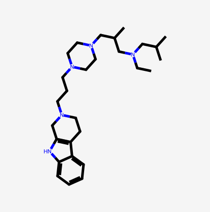 CCN(CC(C)C)CC(C)CN1CCN(CCCN2CCc3c([nH]c4ccccc34)C2)CC1